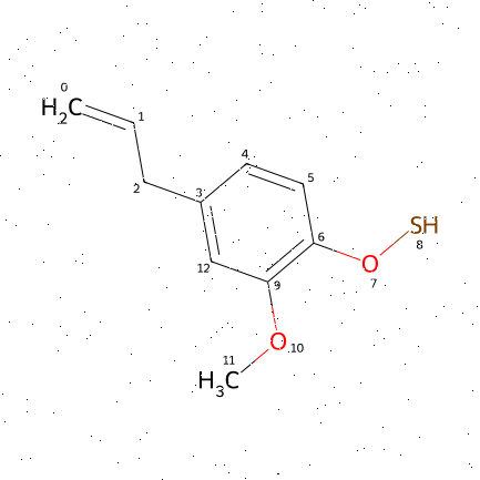 C=CCc1ccc(OS)c(OC)c1